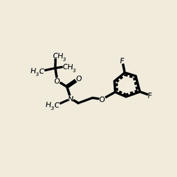 CN(CCOc1cc(F)cc(F)c1)C(=O)OC(C)(C)C